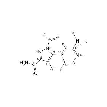 C=C(C)n1nc(C(N)=O)c2ccc3cnc(N(C)C)nc3c21